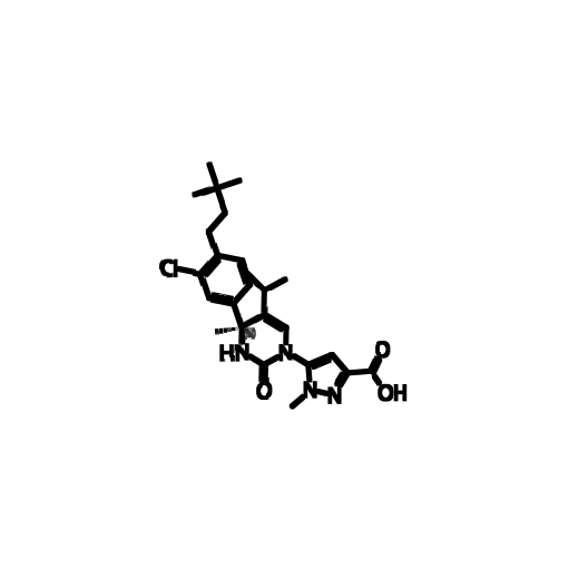 CC(C)C1=CN(c2cc(C(=O)O)nn2C)C(=O)N[C@@]1(C)c1ccc(CCC(C)(C)C)c(Cl)c1